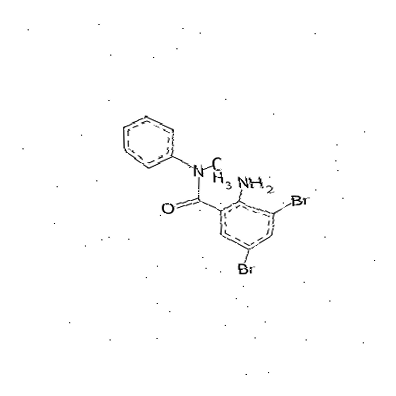 CN(C(=O)c1cc(Br)cc(Br)c1N)c1ccccc1